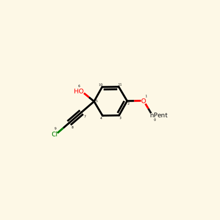 CCCCCOC1=CCC(O)(C#CCl)C=C1